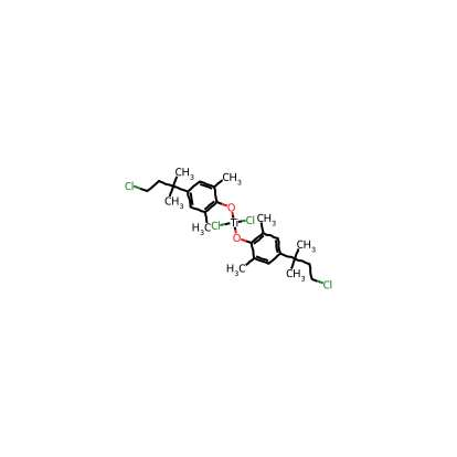 Cc1cc(C(C)(C)CCCl)cc(C)c1[O][Ti]([Cl])([Cl])[O]c1c(C)cc(C(C)(C)CCCl)cc1C